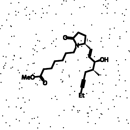 CCC#CC[C@@H](C)[C@H](O)C=C[C@H]1CCC(=O)N1CCCCCCC(=O)OC